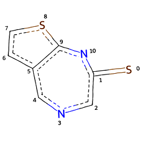 S=c1cncc2ccsc2n1